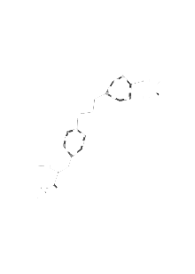 CCOC(Cc1ccc(OCCc2ccc(OS(C)(=O)=O)cc2)cc1)C(N)=O